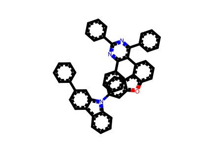 c1ccc(-c2ccc3c4ccccc4n(-c4ccc5c(c4)oc4cccc(-c6c(-c7ccccc7)nc(-c7ccccc7)nc6-c6ccccc6)c45)c3c2)cc1